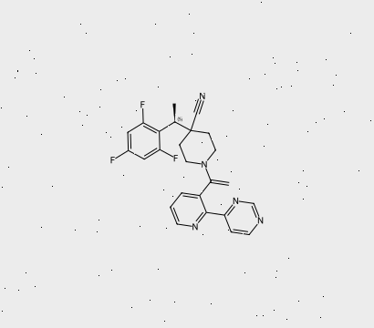 C=C(c1cccnc1-c1ccncn1)N1CCC(C#N)([C@H](C)c2c(F)cc(F)cc2F)CC1